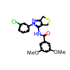 COc1cc(OC)cc(C(=O)Nc2c3c(nn2-c2cccc(Cl)c2)CSC3)c1